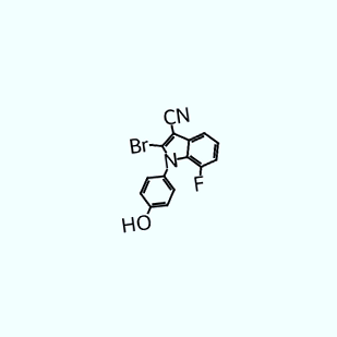 N#Cc1c(Br)n(-c2ccc(O)cc2)c2c(F)cccc12